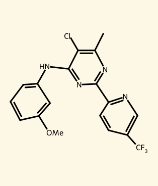 COc1cccc(Nc2nc(-c3ccc(C(F)(F)F)cn3)nc(C)c2Cl)c1